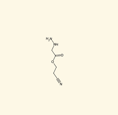 N#CCCOC(=O)CNN